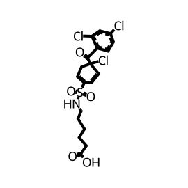 O=C(O)CCCCCNS(=O)(=O)C1=CCC(Cl)(C(=O)c2ccc(Cl)cc2Cl)C=C1